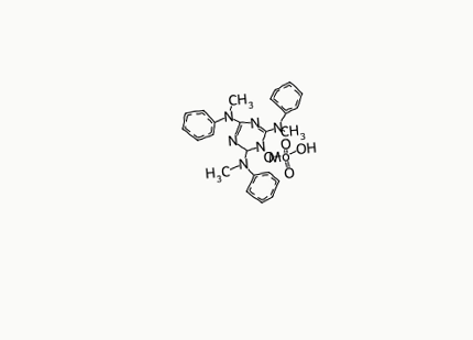 CN(C1=NC(N(C)c2ccccc2)N([O][Mo](=[O])(=[O])[OH])C(N(C)c2ccccc2)=N1)c1ccccc1